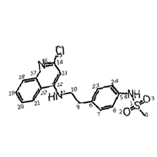 CS(=O)(=O)Nc1ccc(CCNc2cc(Cl)nc3ccccc23)cc1